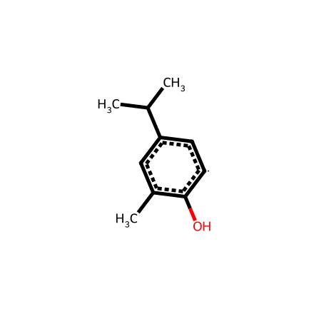 Cc1cc(C(C)C)c[c]c1O